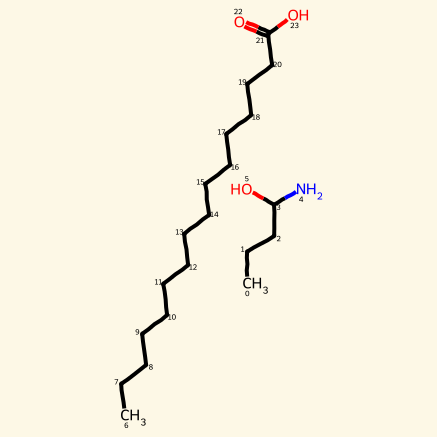 CCCC(N)O.CCCCCCCCCCCCCCCC(=O)O